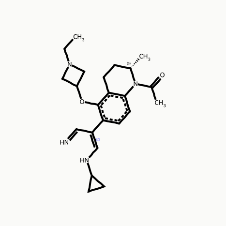 CCN1CC(Oc2c(/C(C=N)=C/NC3CC3)ccc3c2CC[C@H](C)N3C(C)=O)C1